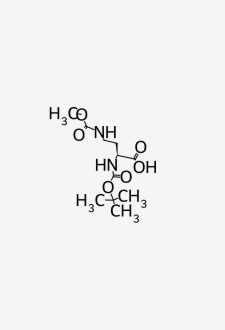 COC(=O)NCC[C@H](NC(=O)OC(C)(C)C)C(=O)O